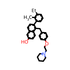 CCc1cccc(-c2ccc3cc(O)ccc3c2Cc2ccc(OCCN3CCCCC3)cc2)c1C